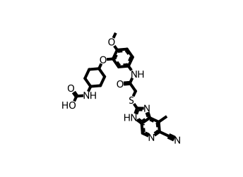 COc1ccc(NC(=O)CSc2nc3c(C)c(C#N)ncc3[nH]2)cc1OC1CCC(NC(=O)O)CC1